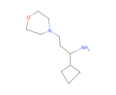 NC(CCN1CCOCC1)C1CCC1